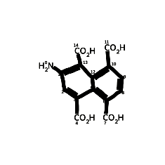 Nc1cc(C(=O)O)c2c(C(=O)O)ccc(C(=O)O)c2c1C(=O)O